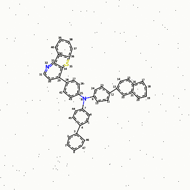 c1ccc(-c2ccc(N(c3ccc(-c4ccc5ccccc5c4)cc3)c3ccc(-c4ccnc5c4sc4ccccc45)cc3)cc2)cc1